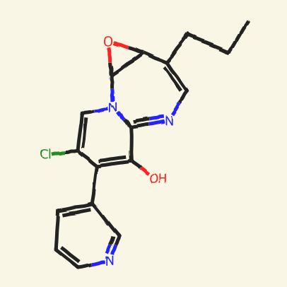 CCCC1=CN=C2C(O)=C(c3cccnc3)C(Cl)=CN2C2OC12